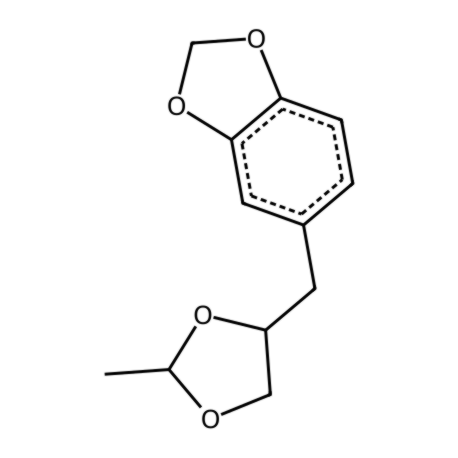 CC1OCC(Cc2ccc3c(c2)OCO3)O1